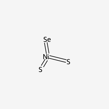 [S]=[Ni](=[S])=[Se]